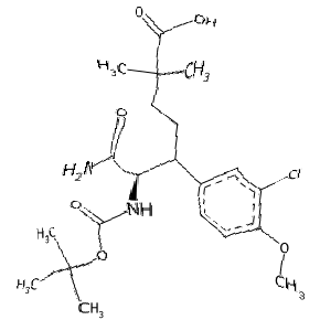 COc1ccc(C(CCC(C)(C)C(=O)O)[C@@H](NC(=O)OC(C)(C)C)C(N)=O)cc1Cl